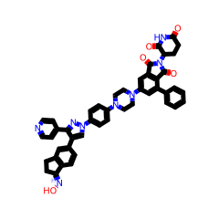 O=C1CCC(N2C(=O)c3cc(N4CCN(c5ccc(-n6cc(-c7ccc8c(c7)CC/C8=N\O)c(-c7ccncc7)n6)cc5)CC4)cc(-c4ccccc4)c3C2=O)C(=O)N1